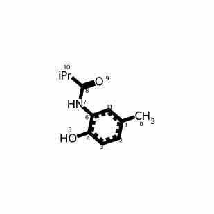 Cc1ccc(O)c(NC(=O)C(C)C)c1